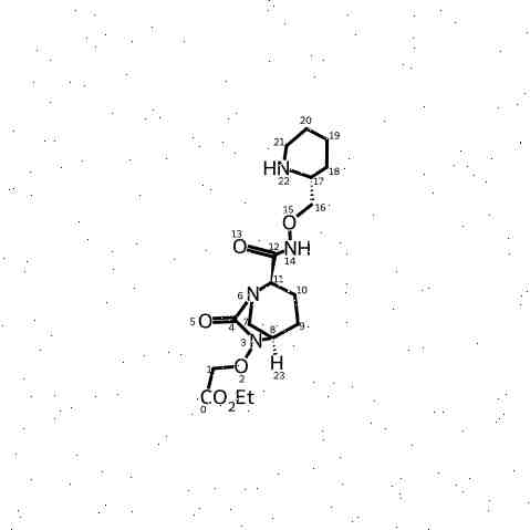 CCOC(=O)CON1C(=O)N2C[C@H]1CC[C@@H]2C(=O)NOC[C@H]1CCCCN1